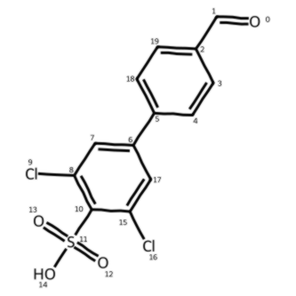 O=Cc1ccc(-c2cc(Cl)c(S(=O)(=O)O)c(Cl)c2)cc1